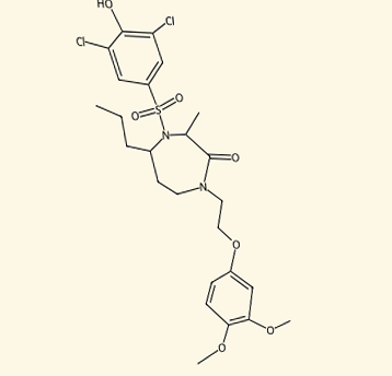 CCCC1CCN(CCOc2ccc(OC)c(OC)c2)C(=O)C(C)N1S(=O)(=O)c1cc(Cl)c(O)c(Cl)c1